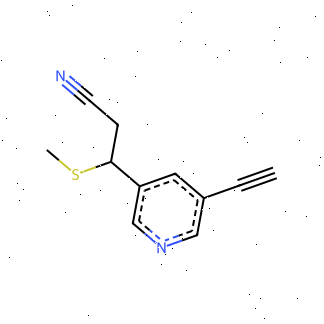 C#Cc1cncc(C(CC#N)SC)c1